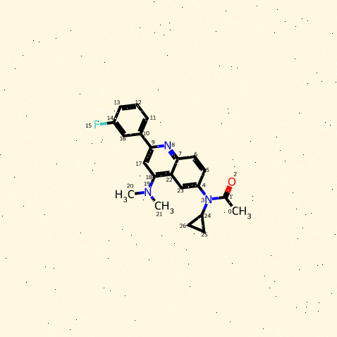 CC(=O)N(c1ccc2nc(-c3cccc(F)c3)cc(N(C)C)c2c1)C1CC1